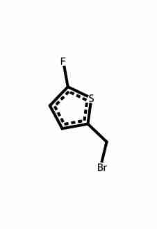 Fc1ccc(CBr)s1